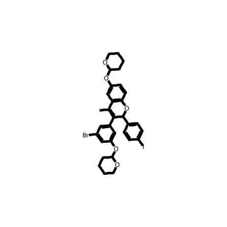 CC1=C(c2cc(Br)cc(OC3CCCCO3)c2)C(c2ccc(I)cc2)Oc2ccc(OC3CCCCO3)cc21